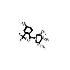 C[C@@H]1CN(C(=O)c2ccc(N)cc2C(F)(F)F)C[C@H](C)[C@H]1O